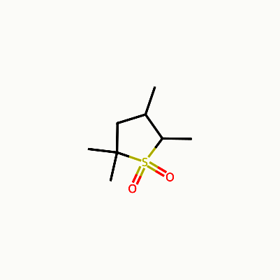 CC1CC(C)(C)S(=O)(=O)C1C